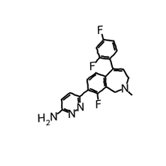 CN1CC=C(c2ccc(F)cc2F)c2ccc(-c3ccc(N)nn3)c(F)c2C1